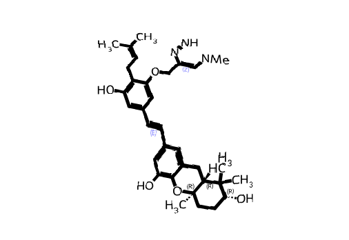 CN/C=C(/COc1cc(/C=C/c2cc(O)c3c(c2)C[C@@H]2C(C)(C)[C@H](O)CC[C@@]2(C)O3)cc(O)c1CC=C(C)C)N=N